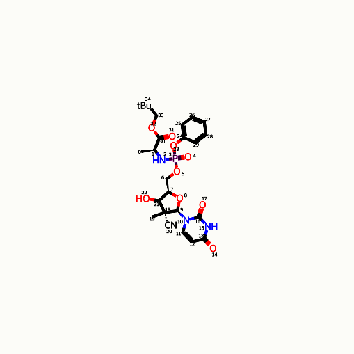 C[C@H](NP(=O)(OC[C@H]1O[C@@H](n2ccc(=O)[nH]c2=O)[C@](C)(C#N)C1O)Oc1ccccc1)C(=O)OCC(C)(C)C